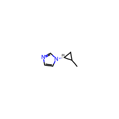 CC1C[C@H]1n1ccnc1